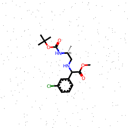 COC(=O)C(NC[C@@H](C)NC(=O)OC(C)(C)C)c1cccc(Cl)c1